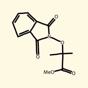 COC(=O)C(C)(C)ON1C(=O)c2ccccc2C1=O